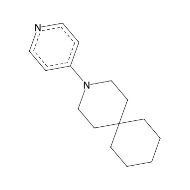 c1cc(N2CCC3(CCCCC3)CC2)ccn1